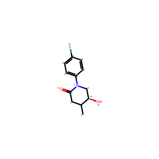 CC1CC(=O)N(c2ccc(F)cc2)C[C@H]1O